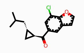 CC(C)C[C@H]1C[C@@H]1C(=O)c1cc(Cl)c2occc2c1